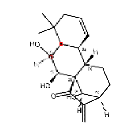 C=C1C(=O)[C@]23[C@H](O)[C@H]1CC[C@H]2[C@]12C=CCC(C)(C)C1[C@H](O)[C@]3(O)OC2